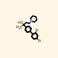 CC(O)(CCN1CCCCC1)c1ccc(-c2ccc(Br)cc2Br)cc1